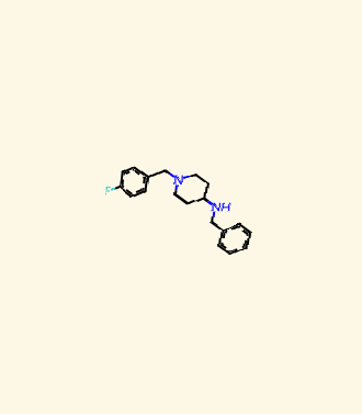 Fc1ccc(CN2CCC(NCc3ccccc3)CC2)cc1